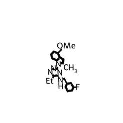 CCc1nnc(-n2c(C)cc3c(COC)cccc32)nc1NCc1cccc(F)c1